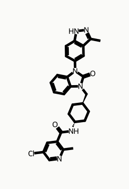 Cc1ncc(Cl)cc1C(=O)N[C@H]1CC[C@H](Cn2c(=O)n(-c3ccc4[nH]nc(C)c4c3)c3ccccc32)CC1